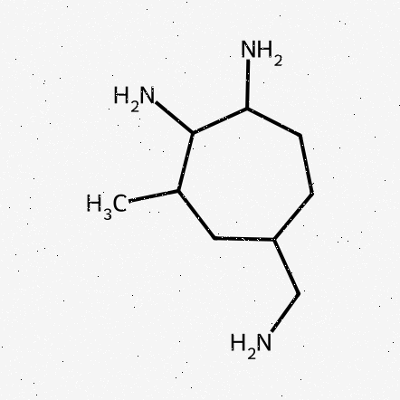 CC1CC(CN)CCC(N)C1N